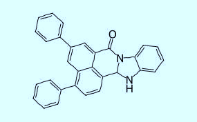 O=C1c2cc(-c3ccccc3)cc3c(-c4ccccc4)ccc(c23)C2Nc3ccccc3N12